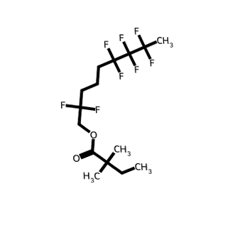 CCC(C)(C)C(=O)OCC(F)(F)CCCC(F)(F)C(F)(F)C(C)(F)F